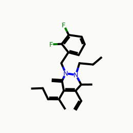 C=CC1=C(/C(C)=C\CC)C(=C)N(Cc2cccc(F)c2F)N(CCC)C1C